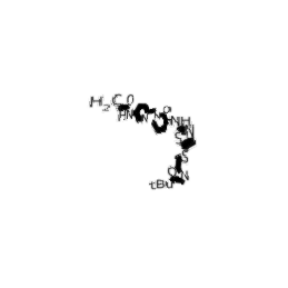 C=CC(=O)Nc1ccc(CN2CCC[C@@H](Nc3ncc(SCc4ncc(C(C)(C)C)o4)s3)C2=O)nc1